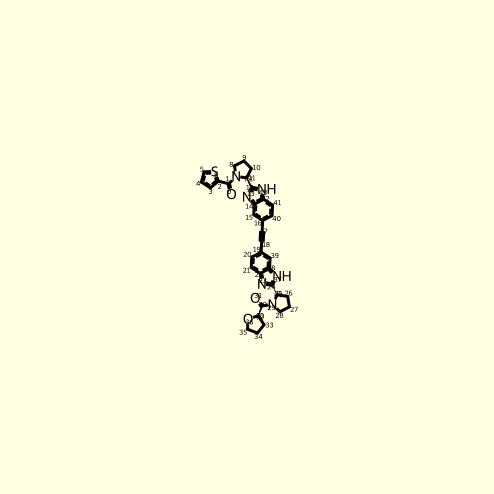 O=C(c1cccs1)N1CCC[C@H]1c1nc2cc(C#Cc3ccc4nc([C@@H]5CCCN5C(=O)[C@H]5CCCO5)[nH]c4c3)ccc2[nH]1